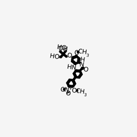 COc1cc2c(cc1OCC(CO)(CO)CO)Nc1cc(-c3ccc([N+](=O)[O-])c(OC)c3)ccc1C(=O)N2